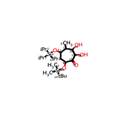 CC1C(O[Si](C(C)C)(C(C)C)C(C)C)CC(O[Si](C)(C)C(C)(C)C)C(=O)C(O)C1O